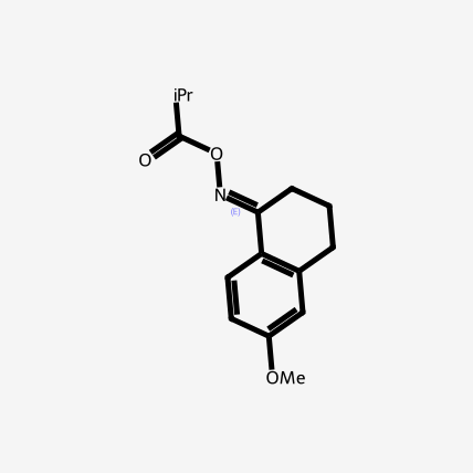 COc1ccc2c(c1)CCC/C2=N\OC(=O)C(C)C